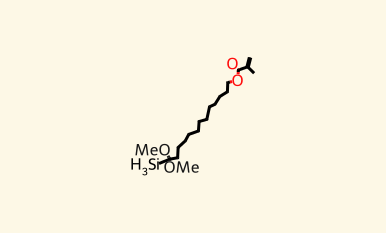 C=C(C)C(=O)OCCCCCCCCCCCCC([SiH3])(OC)OC